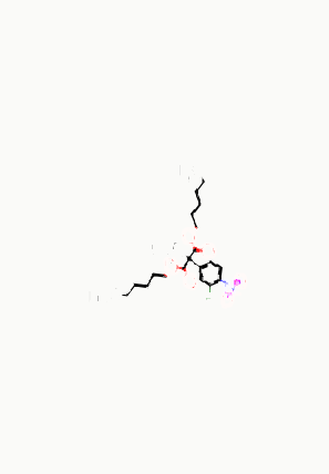 CCCCCCOC(=O)C(C)(C(=O)OCCCCCC)c1ccc([N+](=O)[O-])c(F)c1